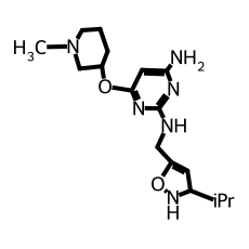 CC(C)C1C=C(CNc2nc(N)cc(OC3CCCN(C)C3)n2)ON1